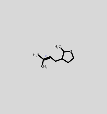 C/C(N)=C\CC1CCSC1C